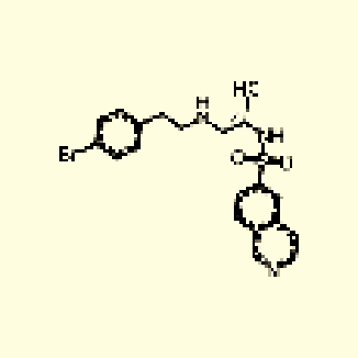 C[C@H](CNCCc1ccc(Br)cc1)NS(=O)(=O)c1ccc2cnccc2c1.Cl